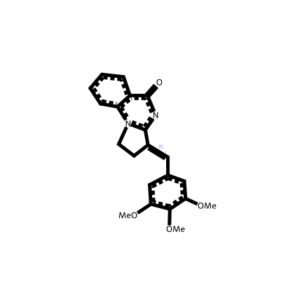 COc1cc(/C=C2\CCn3c2nc(=O)c2ccccc23)cc(OC)c1OC